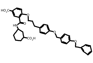 O=C(O)c1ccc(OCCCc2ccc(OCc3ccc(OCc4ccccc4)cc3)cc2)c(C(=O)NC2CCCC(C(=O)O)C2)c1